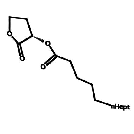 CCCCCCCCCCCC(=O)O[C@H]1CCOC1=O